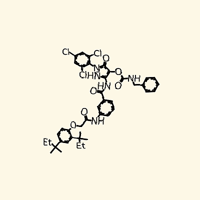 CCC(C)(C)c1ccc(OCC(=O)Nc2cccc(C(=O)Nc3[nH]n(-c4c(Cl)cc(Cl)cc4Cl)c(=O)c3OC(=O)NCc3ccccc3)c2)c(C(C)(C)CC)c1